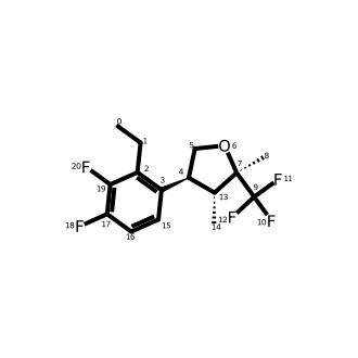 CCc1c([C@H]2CO[C@@](C)(C(F)(F)F)[C@@H]2C)ccc(F)c1F